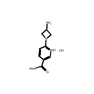 CNC(=O)c1ccc(N2CC(N)C2)nc1.Cl.Cl